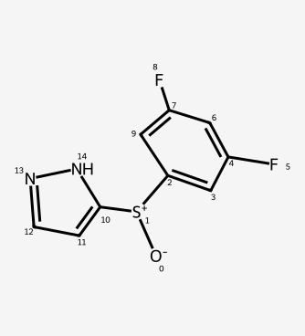 [O-][S+](c1cc(F)cc(F)c1)c1ccn[nH]1